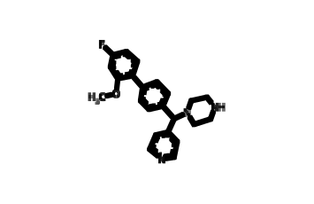 COc1cc(F)ccc1-c1ccc(C(c2ccncc2)N2CCNCC2)cc1